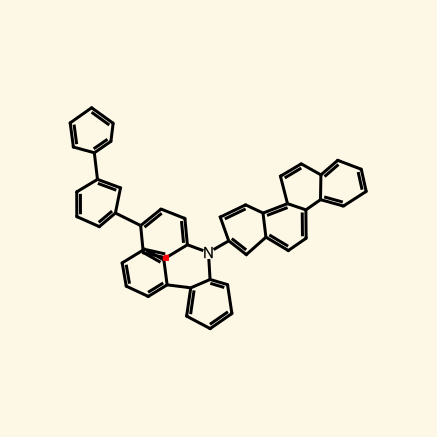 c1ccc(-c2cccc(-c3ccc(N(c4ccc5c(ccc6c7ccccc7ccc56)c4)c4ccccc4-c4ccccc4)cc3)c2)cc1